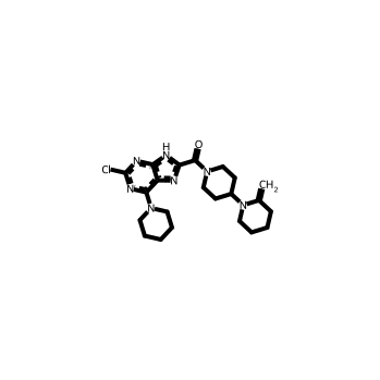 C=C1CCCCN1C1CCN(C(=O)c2nc3c(N4CCCCC4)nc(Cl)nc3[nH]2)CC1